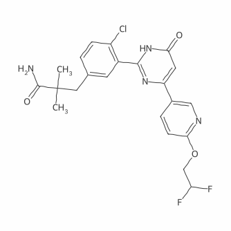 CC(C)(Cc1ccc(Cl)c(-c2nc(-c3ccc(OCC(F)F)nc3)cc(=O)[nH]2)c1)C(N)=O